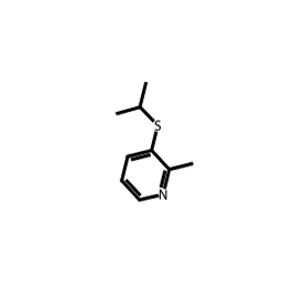 Cc1ncccc1SC(C)C